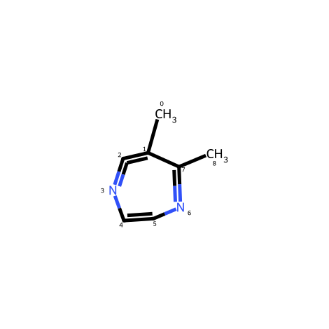 CC1=C=NC=CN=C1C